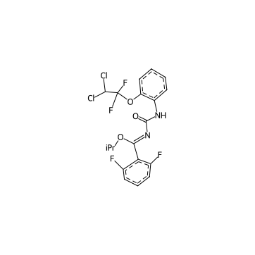 CC(C)OC(=NC(=O)Nc1ccccc1OC(F)(F)C(Cl)Cl)c1c(F)cccc1F